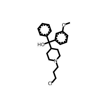 COc1cccc(C(O)(c2ccccc2)C2CCN(CCCCl)CC2)c1